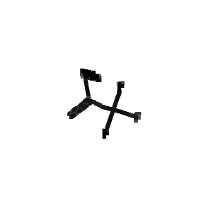 C=C(NC)C(F)(F)F